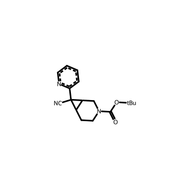 CC(C)(C)OC(=O)N1CCC2C(C1)C2(C#N)c1ccccn1